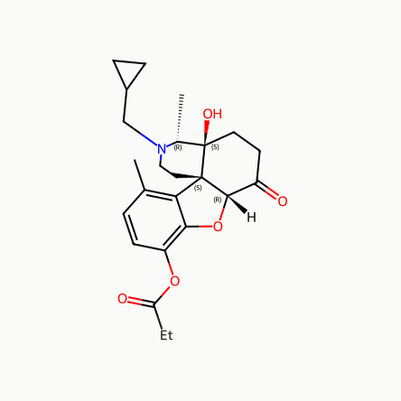 CCC(=O)Oc1ccc(C)c2c1O[C@H]1C(=O)CC[C@@]3(O)[C@@H](C)N(CC4CC4)CC[C@]213